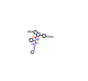 CCCCc1ccc2nc(-c3ccc(OC)cc3)cc(C(=O)NC(C(=O)NCCCN3CCCC3)c3ccccc3)c2c1